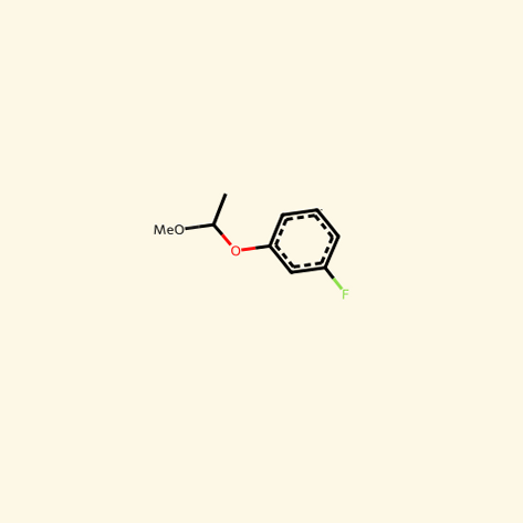 COC(C)Oc1c[c]cc(F)c1